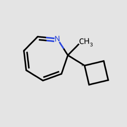 CC1([C]2CCC2)C=CC=CC=N1